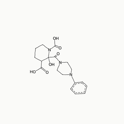 O=C(O)C1CCCN(C(=O)O)C1(O)C(=O)N1CCN(c2ccccc2)CC1